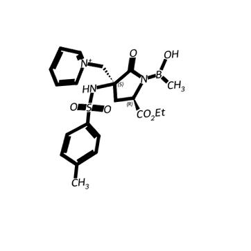 CCOC(=O)[C@H]1C[C@@](C[n+]2ccccc2)(NS(=O)(=O)c2ccc(C)cc2)C(=O)N1B(C)O